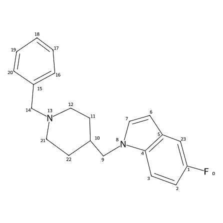 Fc1ccc2c(ccn2CC2CCN(Cc3ccccc3)CC2)c1